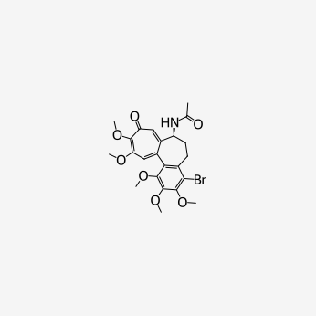 COc1cc2c(cc(=O)c1OC)[C@@H](NC(C)=O)CCc1c(Br)c(OC)c(OC)c(OC)c1-2